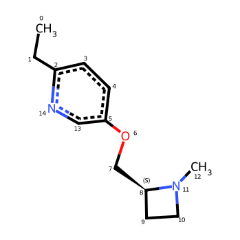 CCc1ccc(OC[C@@H]2CCN2C)cn1